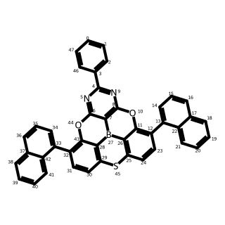 c1ccc(-c2nc3c4c(n2)Oc2c(-c5cccc6ccccc56)ccc5c2B4c2c(ccc(-c4cccc6ccccc46)c2O3)S5)cc1